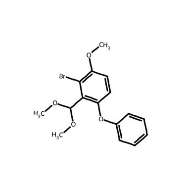 COc1ccc(Oc2ccccc2)c(C(OC)OC)c1Br